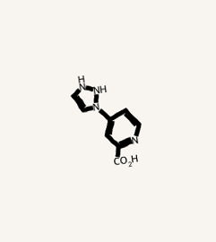 O=C(O)c1cc(N2C=CNN2)ccn1